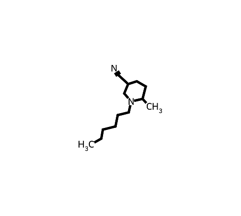 CCCCCCN1CC(C#N)CCC1C